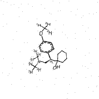 [2H]C([2H])([2H])Oc1ccc([C@H](CN(C([2H])([2H])[2H])C([2H])([2H])[2H])C2(O)CCCCC2)cc1